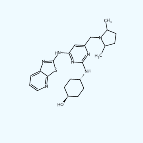 CC1CCC(C)N1Cc1cc(Nc2nc3cccnc3s2)nc(N[C@H]2CC[C@H](O)CC2)n1